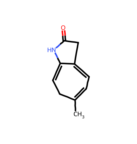 CC1=CC=C2CC(=O)NC2=CC1